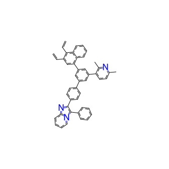 C=Cc1cc(-c2cc(-c3ccc(-c4nc5ccccn5c4-c4ccccc4)cc3)cc(-c3ccc(C)nc3C)c2)c2ccccc2c1C=C